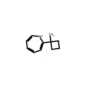 CC1(C2=CC=CC=CN2)CCC1